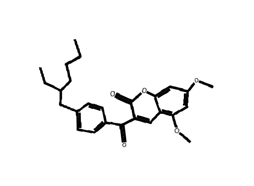 CCCCC(CC)Cc1ccc(C(=O)c2cc3c(OC)cc(OC)cc3oc2=O)cc1